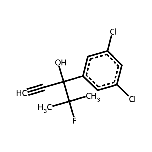 C#CC(O)(c1cc(Cl)cc(Cl)c1)C(C)(C)F